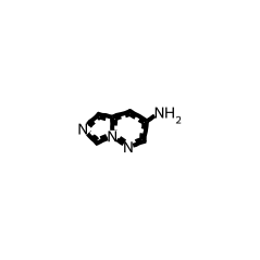 Nc1cnn2cncc2c1